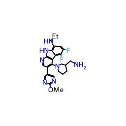 CCNc1cc(F)c(F)c2c1[nH]c1ncc(-c3cnc(OC)nc3)c(N3CCCC(CN)C3)c12